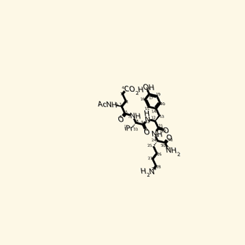 CC(=O)N[C@@H](CCC(=O)O)C(=O)N[C@H](C(=O)N[C@@H](Cc1ccc(O)cc1)C(=O)N[C@@H](CCCCN)C(N)=O)C(C)C